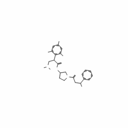 CC(=O)NC(CC(=O)N1CCC(NC(=O)C(CN(C(=O)O)C(C)(C)C)c2c(C)cc(O)cc2C)C1)c1ccccc1